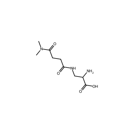 CN(C)C(=O)CCC(=O)NCC(N)C(=O)O